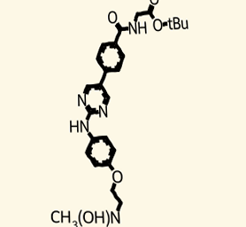 CN(O)CCOc1ccc(Nc2ncc(-c3ccc(C(=O)NCC(=O)OC(C)(C)C)cc3)cn2)cc1